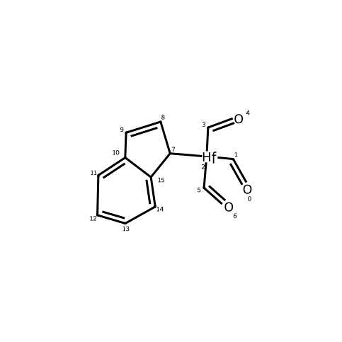 O=[CH][Hf]([CH]=O)([CH]=O)[CH]1C=Cc2ccccc21